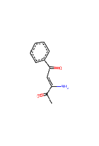 CC(=O)C(N)=CC(=O)c1ccccc1